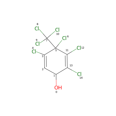 OC1C=C(Cl)C(Cl)(C(Cl)(Cl)Cl)C(Cl)=C1Cl